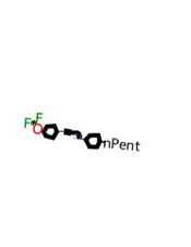 CCCCC[C@H]1CC[C@H](/C=C/C#C[C@H]2CC[C@H](OC(F)F)CC2)CC1